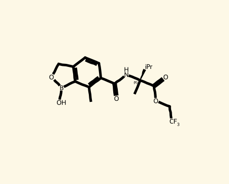 Cc1c(C(=O)N[C@@](C)(C(=O)OCC(F)(F)F)C(C)C)ccc2c1B(O)OC2